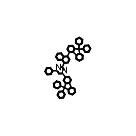 c1ccc(-c2cc(-c3ccc4c(c3)C(c3ccccc3)(c3ccccc3)c3ccccc3-4)nc(-c3ccc(-c4cccc5c4-c4ccccc4C5(c4ccccc4)c4ccccc4)c4ccccc34)n2)cc1